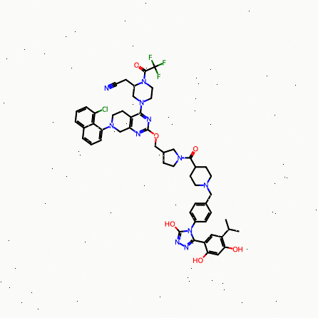 CC(C)c1cc(-c2nnc(O)n2-c2ccc(CN3CCC(C(=O)N4CCC(COc5nc6c(c(N7CCN(C(=O)C(F)(F)F)C(CC#N)C7)n5)CCN(c5cccc7cccc(Cl)c57)C6)C4)CC3)cc2)c(O)cc1O